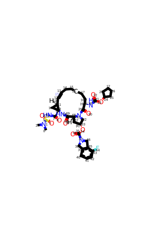 CN(C)S(=O)(=O)NC(=O)[C@@]12C[C@H]1/C=C\CCCCC[C@H](NC(=O)OC1CCCC1)C(=O)N1C[C@H](OC(=O)N3Cc4cccc(F)c4C3)C[C@H]1C(=O)N2